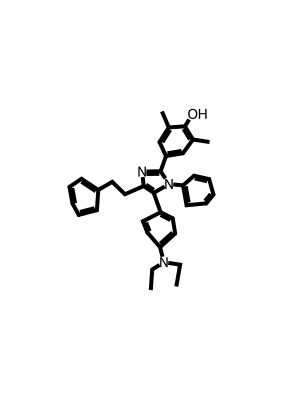 CCN(CC)c1ccc(-c2c(CCc3ccccc3)nc(-c3cc(C)c(O)c(C)c3)n2-c2ccccc2)cc1